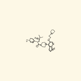 CC(C)NC[C@@H](C(=O)N1CCN(c2c(OCCN3CCCCC3)cnc3[nH]ccc23)CC1)c1ccc(Cl)cc1